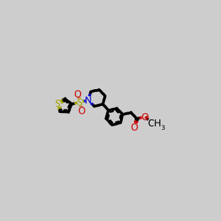 COC(=O)Cc1cccc(C2CCCN(S(=O)(=O)c3ccsc3)C2)c1